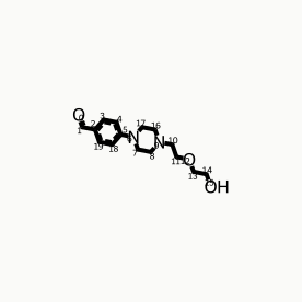 O=Cc1ccc(N2CCN(CCOCCO)CC2)cc1